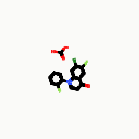 O=C(O)O.O=c1ccn(-c2ccccc2F)c2cc(Cl)c(F)cc12